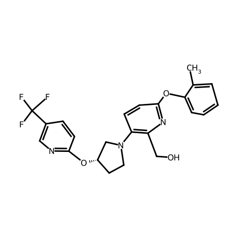 Cc1ccccc1Oc1ccc(N2CC[C@H](Oc3ccc(C(F)(F)F)cn3)C2)c(CO)n1